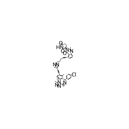 Cc1c(C#Cc2cnn(CCCC#Cc3cccc4nc(C)n([C@H]5CCC(=O)NC5=O)c(=O)c34)c2)sc2c1C(c1ccc(Cl)cc1)=N[C@@H](C)c1nnc(C)n1-2